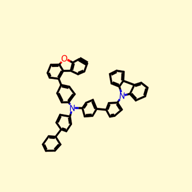 c1ccc2c(c#1)oc1cccc(-c3ccc(N(c4ccc(-c5ccccc5)cc4)c4ccc(-c5cccc(-n6c7ccccc7c7ccccc76)c5)cc4)cc3)c12